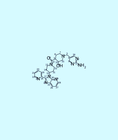 Nc1ncc(CN2CCC(C(=O)N3CCC(n4c(-c5ccccn5)nc5cccnc54)CC3)C(O)C2)cn1